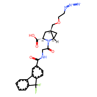 [N-]=[N+]=NCCOC[C@@]12C[C@@H]1N(C(=O)CNC(=O)c1ccc3c(c1)-c1ccccc1C3(F)F)[C@H](C(=O)O)C2